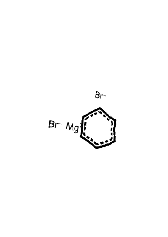 [Br-].[Br-].[Mg+2].c1ccccc1